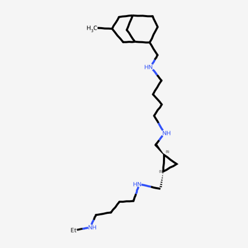 CCNCCCCNC[C@H]1C[C@@H]1CNCCCCNCC1CCC2CC(C)CC1C2